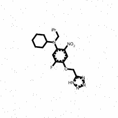 CC(C)CN(c1cc(F)c(OCc2nnn[nH]2)cc1[N+](=O)[O-])C1CCCCC1